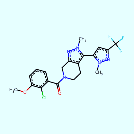 COc1cccc(C(=O)N2CCc3c(nn(C)c3-c3cc(C(F)(F)F)nn3C)C2)c1Cl